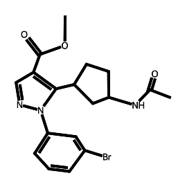 COC(=O)c1cnn(-c2cccc(Br)c2)c1C1CCC(NC(C)=O)C1